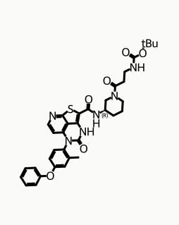 Cc1cc(Oc2ccccc2)ccc1N1C(=O)Nc2c(C(=O)N[C@@H]3CCCN(C(=O)CCNC(=O)OC(C)(C)C)C3)sc3nccc1c23